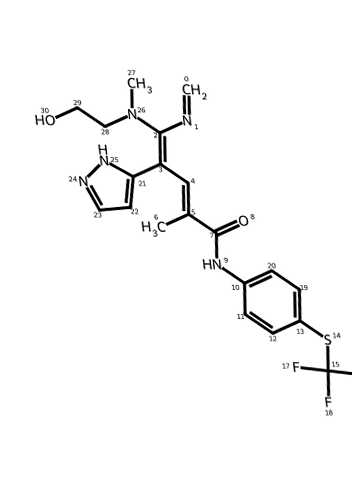 C=N/C(=C(\C=C(/C)C(=O)Nc1ccc(SC(F)(F)F)cc1)c1ccn[nH]1)N(C)CCO